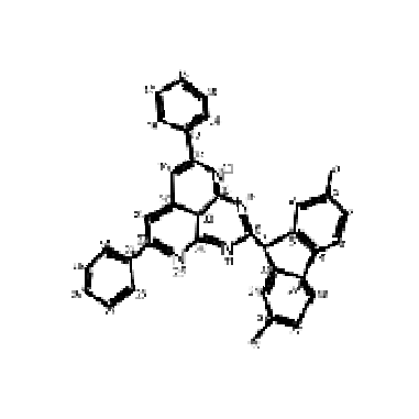 Cc1ccc2c(c1)C(C1=NC3=NC(c4ccccc4)=CC4=CC(c5ccccc5)=NC(=N1)C43)c1cc(C)ccc1-2